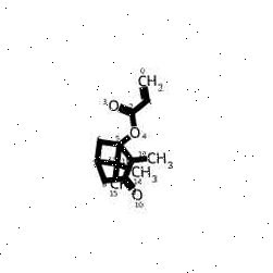 C=CC(=O)OC12CC(CC(=O)C1C)C2(C)C